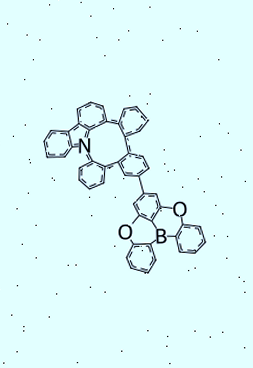 c1ccc2c(c1)Oc1cc(-c3ccc4c5ccccc5c5cccc6c7ccccc7n(c7ccccc7c4c3)c56)cc3c1B2c1ccccc1O3